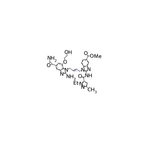 CCn1nc(C)cc1C(=O)Nc1nc2cc(C(=O)OC)ccc2n1C/C=C/Cn1c(N)nc2cc(C3OC3N)cc(OCCO)c21